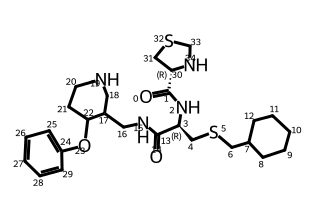 O=C(N[C@@H](CSCC1CCCCC1)C(=O)NCC1CNCCC1Oc1ccccc1)[C@@H]1CSCN1